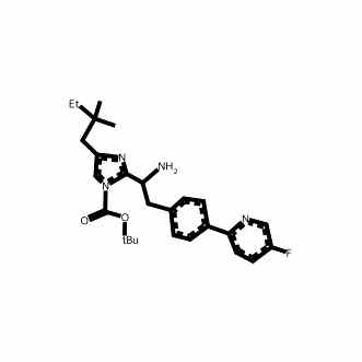 CCC(C)(C)Cc1cn(C(=O)OC(C)(C)C)c(C(N)Cc2ccc(-c3ccc(F)cn3)cc2)n1